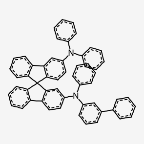 c1ccc(-c2cccc(N(c3ccccc3)c3ccc4c(c3)C3(c5ccccc5-c5cc(N(c6ccccc6)c6ccccc6)ccc53)c3ccccc3-4)c2)cc1